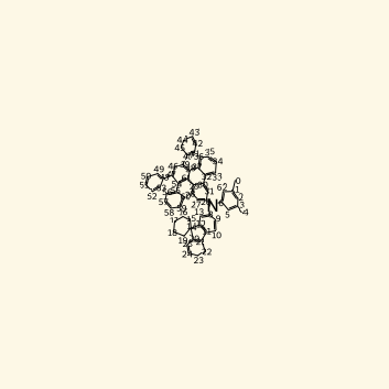 Cc1cc(C)cc(N(c2ccc3c(c2)C2(CCCCC2)C2=C3CCC=C2)c2ccc3c(c2)c2ccccc2c2c(C4=CC=CCC4)cc(-c4ccccc4)c(-c4ccccc4)c32)c1